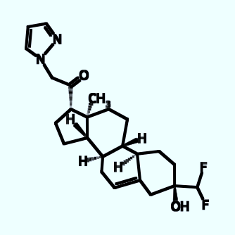 C[C@]12CC[C@H]3[C@@H](CC=C4C[C@@](O)(C(F)F)CC[C@@H]43)[C@@H]1CC[C@@H]2C(=O)Cn1cccn1